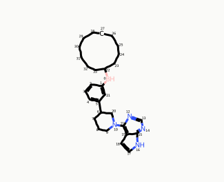 B(c1cccc(C2CCCN(c3ncnc4[nH]ccc34)C2)c1)C1CCCCCCCCCCC1